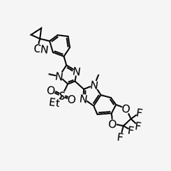 CCS(=O)(=O)c1c(-c2nc3cc4c(cc3n2C)OC(F)(F)C(F)(F)O4)nc(-c2cccc(C3(C#N)CC3)c2)n1C